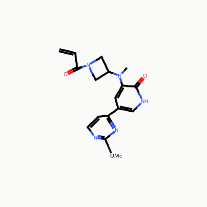 C=CC(=O)N1CC(N(C)c2cc(-c3ccnc(OC)n3)c[nH]c2=O)C1